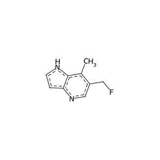 Cc1c(CF)cnc2cc[nH]c12